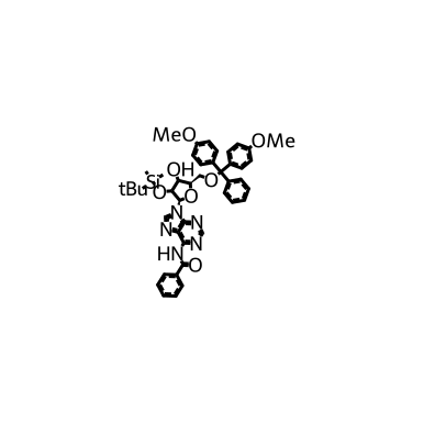 COc1ccc(C(OC[C@H]2O[C@@H](n3cnc4c(NC(=O)c5ccccc5)ncnc43)C(O[Si](C)(C)C(C)(C)C)C2O)(c2ccccc2)c2ccc(OC)cc2)cc1